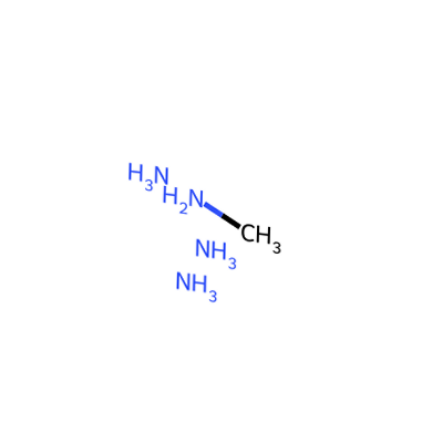 CN.N.N.N